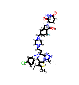 Cc1sc2c(c1C)[C@H](c1ccc(Cl)cc1)NC(CCN1CCN(Cc3cc(F)c4c(c3)CN(C3CCC(=O)NC3=O)C4=O)CC1)c1nnc(C)n1-2